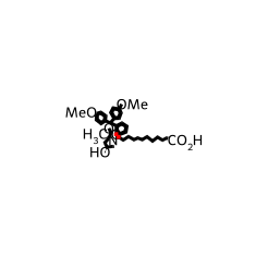 COc1ccc(C(OC[C@]2(C)C[C@@H](O)CN2C(=O)CCCCCCCCCCC(=O)O)(c2ccccc2)c2ccc(OC)cc2)cc1